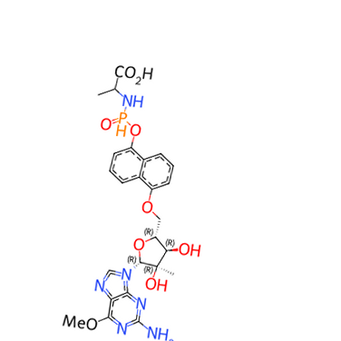 COc1nc(N)nc2c1ncn2[C@@H]1O[C@H](COc2cccc3c(O[PH](=O)NC(C)C(=O)O)cccc23)[C@@H](O)[C@@]1(C)O